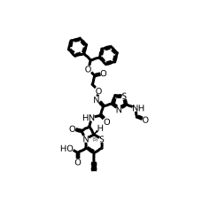 C#CC1=C(C(=O)O)N2C(=O)C(NC(=O)C(=NOCC(=O)OC(c3ccccc3)c3ccccc3)c3csc(NC=O)n3)[C@@H]2SC1